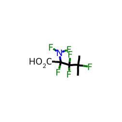 CC(C)(F)C(F)(F)C(F)(C(=O)O)N(F)F